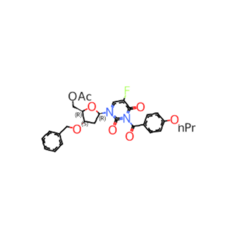 CCCOc1ccc(C(=O)n2c(=O)c(F)cn([C@H]3C[C@H](OCc4ccccc4)[C@@H](COC(C)=O)O3)c2=O)cc1